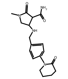 CN1CC(NCc2ccc(N3CCCCC3=O)cc2)C(C(N)=O)C1=O